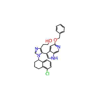 OCCc1ncn(C2CCCc3c(Cl)cccc32)c1-c1c[nH]c2cnc(OCc3ccccc3)cc12